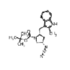 Cc1[nH]c2ccccc2c1C[C@H]1C[C@H](N=[N+]=[N-])CN1C(=O)OC(C)(C)C